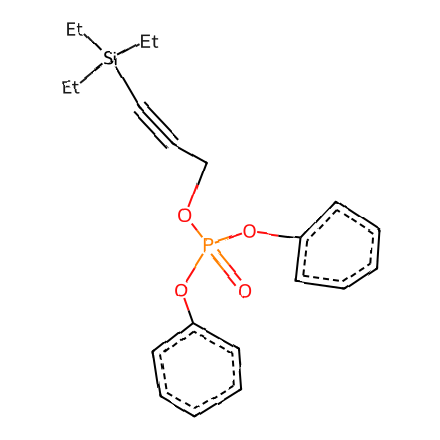 CC[Si](C#CCOP(=O)(Oc1ccccc1)Oc1ccccc1)(CC)CC